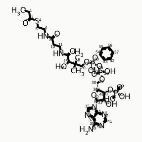 CCC(=O)SCCNC(=O)CCNC(=O)C(O)C(C)(C)COP(=O)(O)OP(=O)(O)OC[C@H]1O[C@@H](n2cnc3c(N)ncnc32)[C@H](O)[C@@H]1OP(=O)(O)O.c1ccccc1